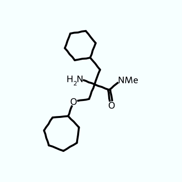 CNC(=O)C(N)(COC1CCCCCC1)CC1CCCCC1